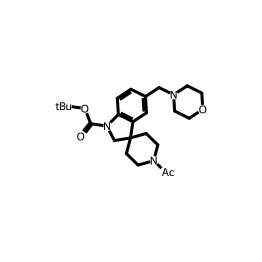 CC(=O)N1CCC2(CC1)CN(C(=O)OC(C)(C)C)c1ccc(CN3CCOCC3)cc12